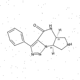 O=C1N[C@H]2CNC[C@H]2n2nnc(-c3ccccc3)c21